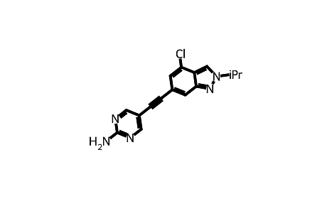 CC(C)n1cc2c(Cl)cc(C#Cc3cnc(N)nc3)cc2n1